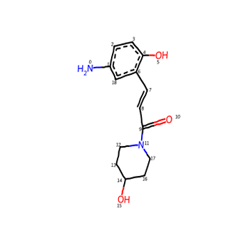 Nc1ccc(O)c(C=CC(=O)N2CCC(O)CC2)c1